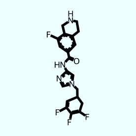 O=C(Nc1cn(CC2C=C(F)C(F)=C(F)C2)cn1)c1cc(F)c2c(c1)CCNC2